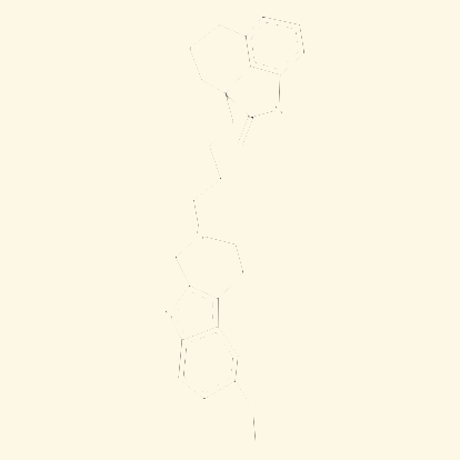 COc1ccc2[nH]c3c(c2c1)CCN(CCCCC12CCCc4cccc(c41)NC2=O)C3